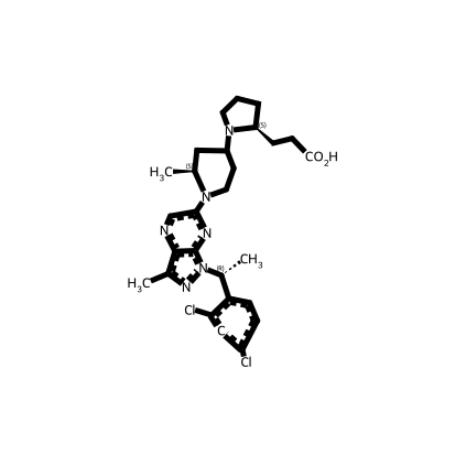 Cc1nn([C@H](C)c2ccc(Cl)cc2Cl)c2nc(N3CCC(N4CCC[C@H]4CCC(=O)O)C[C@@H]3C)cnc12